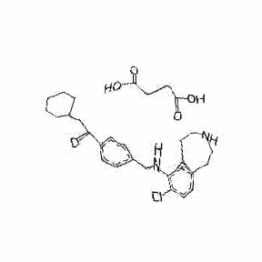 O=C(CC1CCCCC1)c1ccc(CNc2c(Cl)ccc3c2CCNCC3)cc1.O=C(O)CCC(=O)O